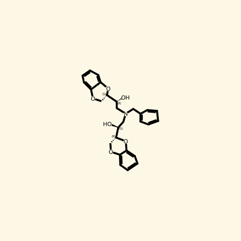 O[C@H](CN(Cc1ccccc1)C[C@H](O)[C@H]1COc2ccccc2O1)[C@@H]1COc2ccccc2O1